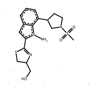 CS(=O)(=O)N1CCC(c2cccc3cc(C4=NC(CO)CS4)n(N)c23)C1